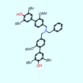 COc1cc(CN(Cc2ccccc2)Cc2ccc(-c3cc(C(C)(C)C)c(O)c(C(C)(C)C)c3)c(OC)c2)ccc1-c1cc(C(C)(C)C)c(O)c(C(C)(C)C)c1